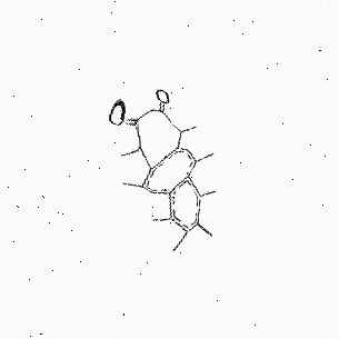 Cc1c(C)c(C)c2c(C)c3c(c(C)c2c1C)C(C)C(=O)C(=O)C3C